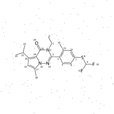 CCn1c(-c2ccc(SC(F)F)cc2C)nn2c(C)cc(C(C)C)c2c1=O